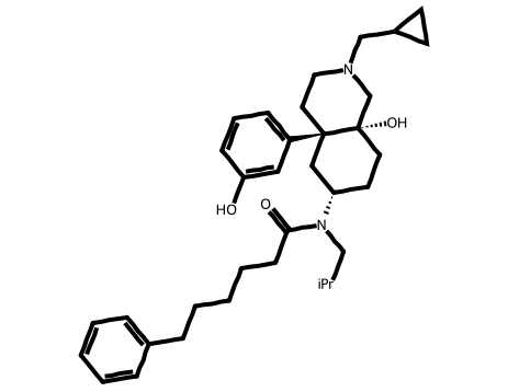 CC(C)CN(C(=O)CCCCCc1ccccc1)[C@H]1CC[C@]2(O)CN(CC3CC3)CC[C@@]2(c2cccc(O)c2)C1